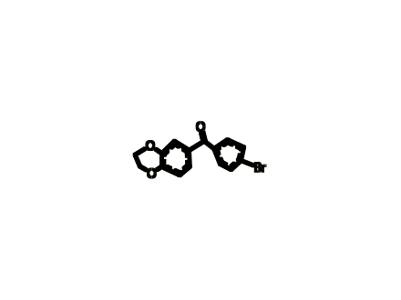 O=C(c1ccc(Br)cc1)c1ccc2c(c1)OCCO2